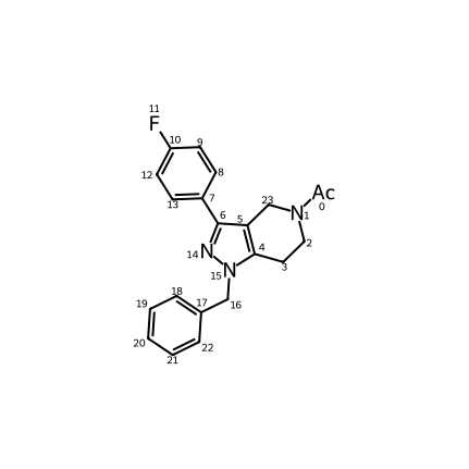 CC(=O)N1CCc2c(c(-c3ccc(F)cc3)nn2Cc2ccccc2)C1